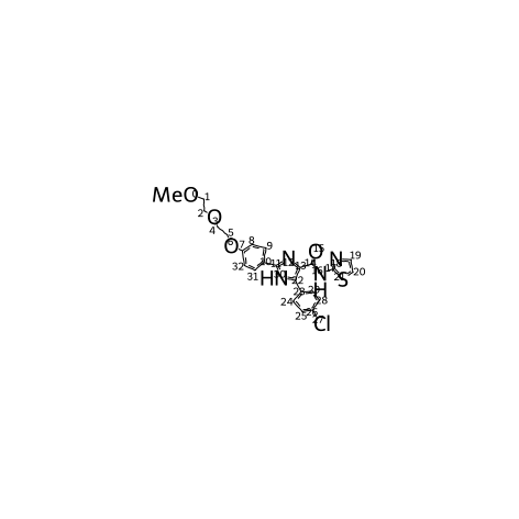 COCCOCCOc1ccc(-c2nc(C(=O)Nc3nccs3)c(-c3ccc(Cl)cc3)[nH]2)cc1